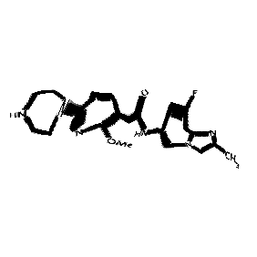 COc1nc(N2CCNCC2)ccc1C(=O)Nc1cc(F)c2nc(C)cn2c1